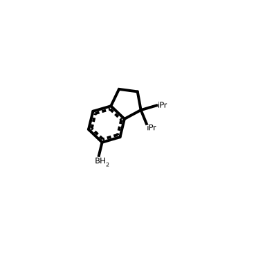 Bc1ccc2c(c1)C(C(C)C)(C(C)C)CC2